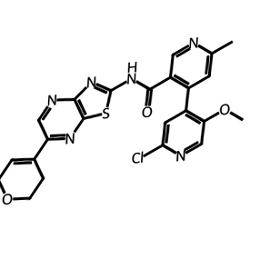 COc1cnc(Cl)cc1-c1cc(C)ncc1C(=O)Nc1nc2ncc(C3=CCOCC3)nc2s1